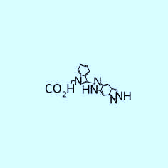 O=C(O)Cn1cc(-c2nc3cc4c[nH]nc4cc3[nH]2)c2ccccc21